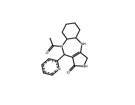 CC(=O)N1C(c2ccccn2)C2=C(CNC2=O)NC2CCCCC21